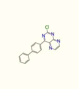 Clc1nc(-c2ccc(-c3ccccc3)cc2)c2nccnc2n1